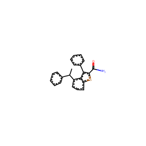 CC(c1ccccc1)c1cccc2sc(C(N)=O)c(-c3ccccc3)c12